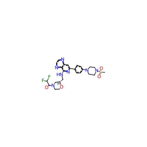 CS(=O)(=O)N1CCN(c2ccc(-c3cc4nccnc4c(NC[C@@H]4CN(C(=O)C(F)F)CCO4)n3)cc2)CC1